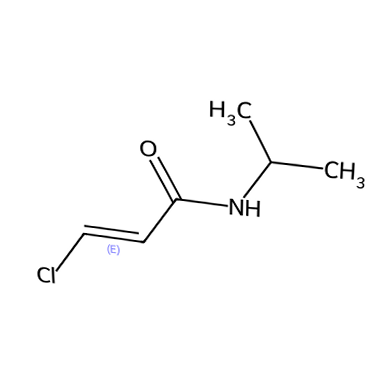 CC(C)NC(=O)/C=C/Cl